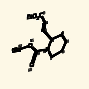 CCOC(=O)C=CC1CCCCN1C(=O)OC(C)(C)C